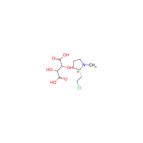 CN1CCC[C@H]1CCCl.O=C(O)C(O)C(O)C(=O)O